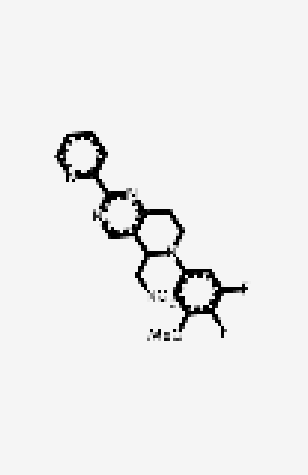 COc1cc(N2CCc3nc(-c4ccccn4)ncc3C2C[N+](=O)[O-])cc(F)c1F